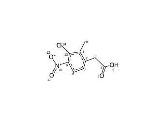 Cc1c(CC(=O)O)ccc([N+](=O)[O-])c1Cl